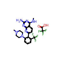 CNc1nc(N)nc2nc(-c3c(N4CCN(C)CC4)cccc3C(F)(F)F)ccc12.O=C(O)C(F)(F)F